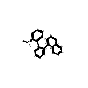 COc1ccccc1-c1ccccc1-c1cccc2ccccc12